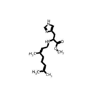 COC(=O)C(Cc1c[nH]cn1)NCC=C(C)CCC=C(C)C